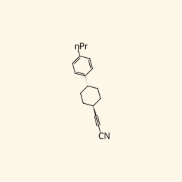 CCCc1ccc([C@H]2CC[C@H](C#CC#N)CC2)cc1